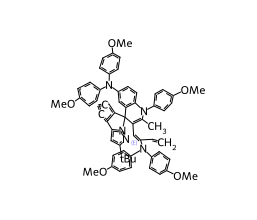 C=C/C(=C\C1=C(C)N(c2ccc(OC)cc2)c2ccc(N(c3ccc(OC)cc3)c3ccc(OC)cc3)cc2C12c1ccccc1-c1cc(C(C)(C)C)nn12)N(c1ccc(OC)cc1)c1ccc(OC)cc1